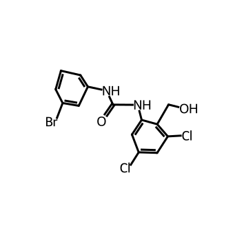 O=C(Nc1cccc(Br)c1)Nc1cc(Cl)cc(Cl)c1CO